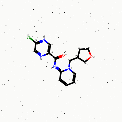 O=C(N=c1ccccn1CC1CCOC1)c1cnc(Cl)cn1